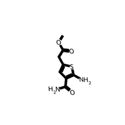 COC(=O)Cc1cc(C(N)=O)c(N)s1